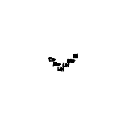 [Co].[LiH].[LiH].[Mn].[Mn].[Ni]